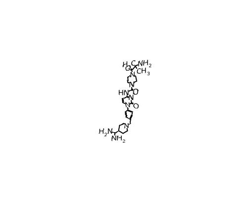 CC(C)(N)C(=O)N1CCN(C(=O)Nc2ccn(-c3ccc(CN4CCC(C(N)N)CC4)cc3)c(=O)n2)CC1